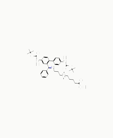 CC(C)(C)OC(=O)Nc1ccc(-c2ccc(NC(=O)OC(C)(C)C)cc2/C(=N/CCC[N+](C)(C)CCCCC(=O)O)c2ccccc2)cc1